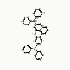 c1ccc(N(c2ccccc2)c2ccc3c(c2)Oc2cc(N(c4ccccc4)c4ccccc4)cc4cccc-3c24)cc1